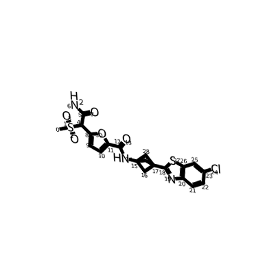 CS(=O)(=O)C(C(N)=O)c1ccc(C(=O)NC23CC(c4nc5ccc(Cl)cc5s4)(C2)C3)o1